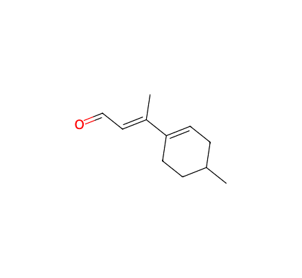 CC(=CC=O)C1=CCC(C)CC1